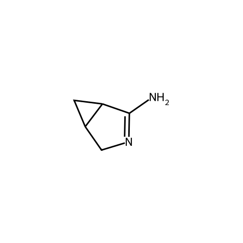 NC1=NCC2CC12